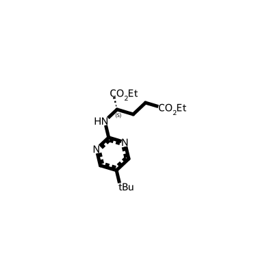 CCOC(=O)CC[C@H](Nc1ncc(C(C)(C)C)cn1)C(=O)OCC